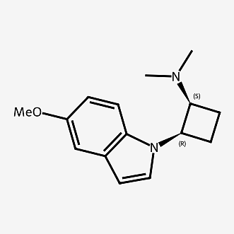 COc1ccc2c(ccn2[C@@H]2CC[C@@H]2N(C)C)c1